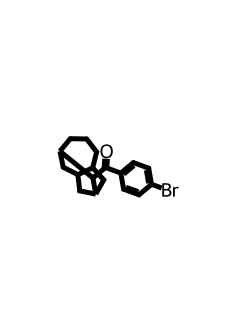 O=C(c1ccc(Br)cc1)C1C2CCCC3CC1CC3C2